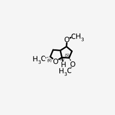 COC1C[C@H](OC)[C@@H]2O[C@H](C)CC12